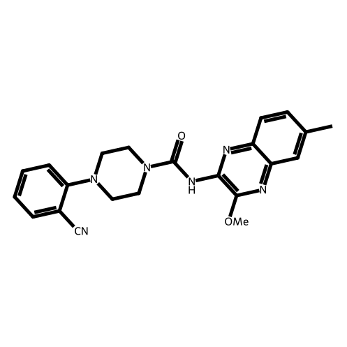 COc1nc2cc(C)ccc2nc1NC(=O)N1CCN(c2ccccc2C#N)CC1